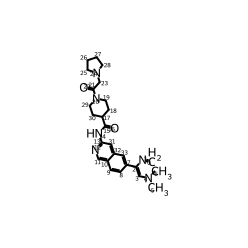 C=N/C(=C\N(C)C)c1ccc2cnc(NC(=O)C3CCN(C(=O)CN4CCCC4)CC3)cc2c1